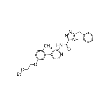 CCOCCOc1ccc(C)c(-c2ccnc(NC(=O)c3nnc(Cc4ccccc4)[nH]3)c2)c1